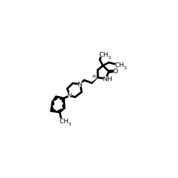 CCC1(CC)C[C@H](CCN2CCN(c3cccc(C)c3)CC2)NC1=O